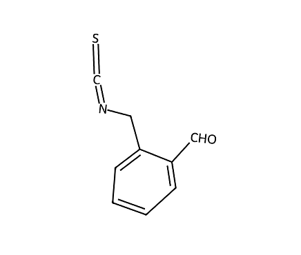 O=Cc1ccccc1CN=C=S